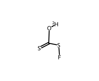 [2H]OC(=S)SF